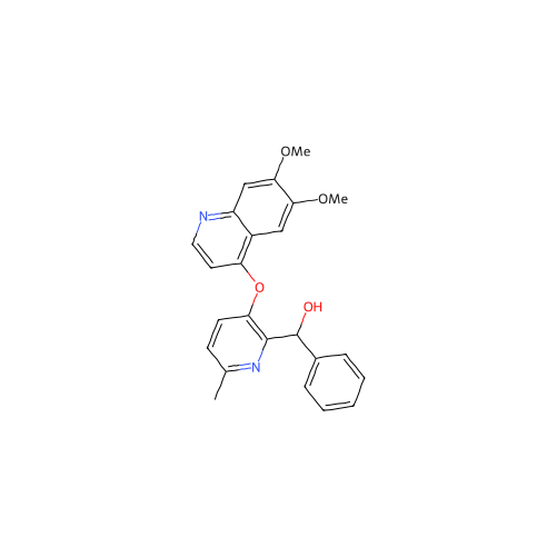 COc1cc2nccc(Oc3ccc(C)nc3C(O)c3ccccc3)c2cc1OC